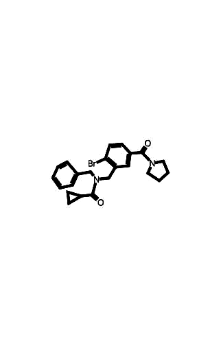 O=C(c1ccc(Br)c(CN(Cc2ccccc2)C(=O)C2CC2)c1)N1CCCC1